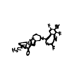 CN(C)C(=O)c1cc2n(n1)CCCN(c1nc(F)nc3c(F)c(Br)c(F)cc13)C2